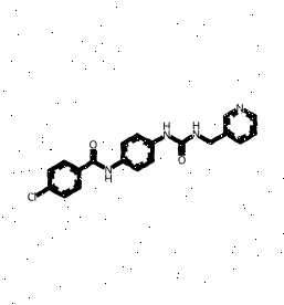 O=C(NCc1cccnc1)Nc1ccc(NC(=O)c2ccc(Cl)cc2)cc1